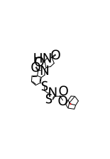 O=C1CCC(N2Cc3c(SCc4nc(C(=O)OC56CC7CC(CC(C7)C5)C6)cs4)cccc3C2=O)C(=O)N1